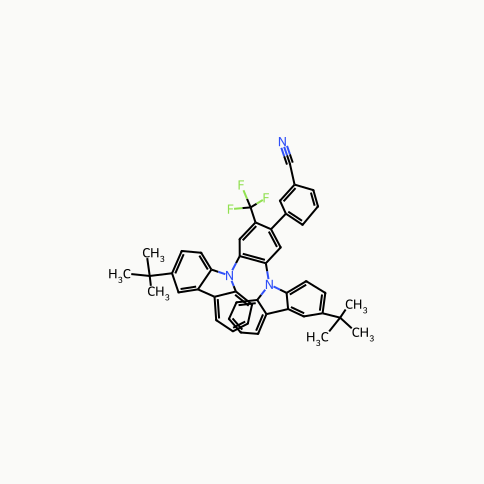 CC(C)(C)c1ccc2c(c1)c1ccccc1n2-c1cc(-c2cccc(C#N)c2)c(C(F)(F)F)cc1-n1c2ccccc2c2cc(C(C)(C)C)ccc21